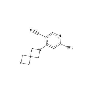 N#Cc1cnc(N)cc1N1CC2(COC2)C1